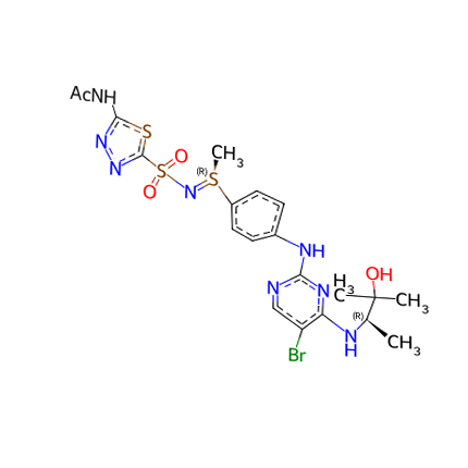 CC(=O)Nc1nnc(S(=O)(=O)N=[S@@](C)c2ccc(Nc3ncc(Br)c(N[C@H](C)C(C)(C)O)n3)cc2)s1